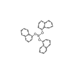 c1ccc2c(O[Si](Oc3cccc4ccccc34)Oc3cccc4ccccc34)cccc2c1